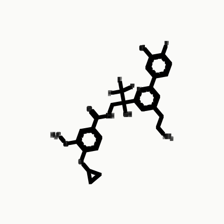 COc1cc(C(=O)NCC(O)(c2cc(CCN)cc(-c3ccc(F)c(Cl)c3)n2)C(F)(F)F)ccc1OC1CC1